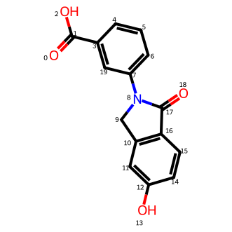 O=C(O)c1cccc(N2Cc3cc(O)ccc3C2=O)c1